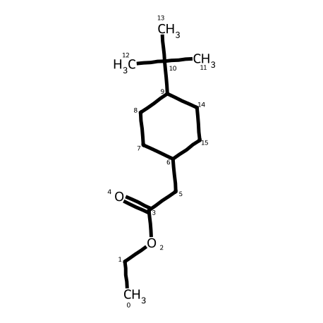 CCOC(=O)CC1CCC(C(C)(C)C)CC1